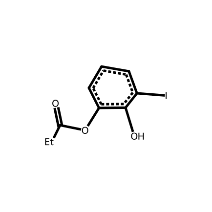 CCC(=O)Oc1cccc(I)c1O